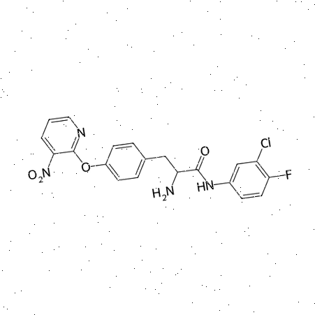 NC(Cc1ccc(Oc2ncccc2[N+](=O)[O-])cc1)C(=O)Nc1ccc(F)c(Cl)c1